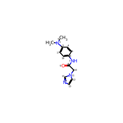 CN(C)c1ccc(NC(=O)Cn2ccnc2)cc1